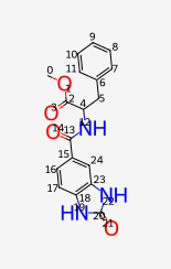 COC(=O)C(Cc1ccccc1)NC(=O)c1ccc2[nH]c(=O)[nH]c2c1